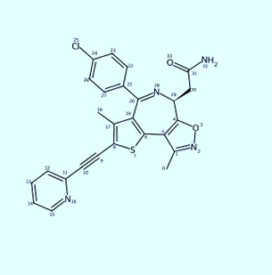 Cc1noc2c1-c1sc(C#Cc3ccccn3)c(C)c1C(c1ccc(Cl)cc1)=N[C@H]2CC(N)=O